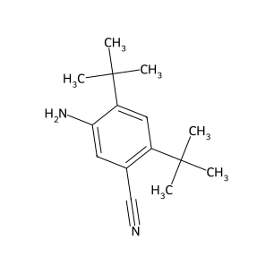 CC(C)(C)c1cc(C(C)(C)C)c(C#N)cc1N